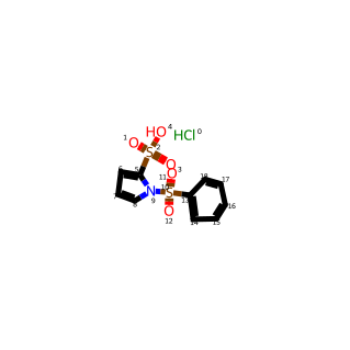 Cl.O=S(=O)(O)c1cccn1S(=O)(=O)c1ccccc1